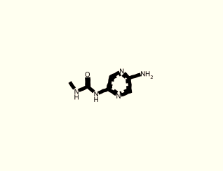 CNC(=O)Nc1cnc(N)cn1